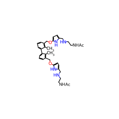 CC(=O)NCCNCc1ccc(OCc2cccc(-c3cccc(COc4ccc(CNCCNC(C)=O)[nH]4)c3C)c2C)[nH]1